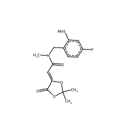 CSc1cc(F)ccc1CN(C)C(=O)C=C1OC(C)(C)OC1=O